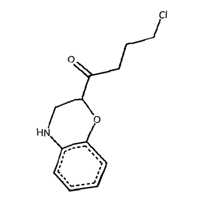 O=C(CCCCl)C1CNc2ccccc2O1